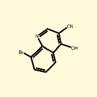 N#Cc1cnc2c(Br)cccc2c1O